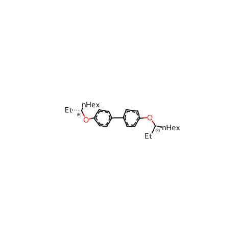 CCCCCC[C@@H](CC)Oc1ccc(-c2ccc(O[C@H](CC)CCCCCC)cc2)cc1